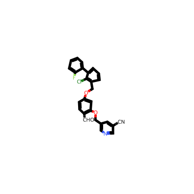 N#Cc1cncc(COc2cc(OCc3cccc(-c4ccccc4F)c3Cl)ccc2C=O)c1